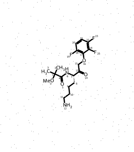 COC(C)(C)C(=O)N[C@@H](CCCCN)C(=O)COc1c(F)ccc(F)c1F